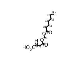 O=C(O)NCC(=O)OCOC(=O)CCCCCBr